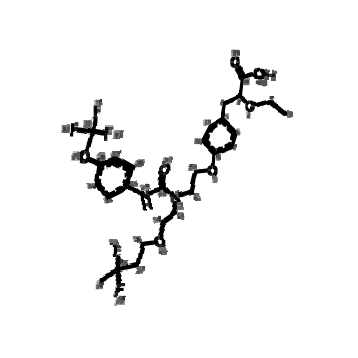 CCOC(Cc1ccc(OCCN(CCOCCC(C)(F)F)C(=O)Nc2ccc(OC(F)(F)F)cc2)cc1)C(=O)O